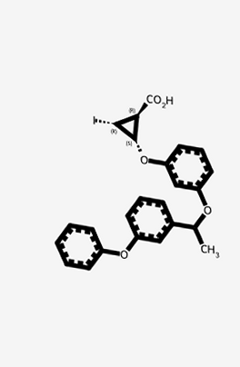 CC(Oc1cccc(O[C@@H]2[C@H](I)[C@H]2C(=O)O)c1)c1cccc(Oc2ccccc2)c1